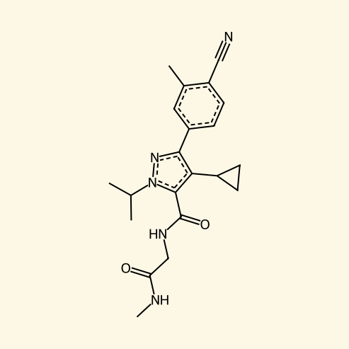 CNC(=O)CNC(=O)c1c(C2CC2)c(-c2ccc(C#N)c(C)c2)nn1C(C)C